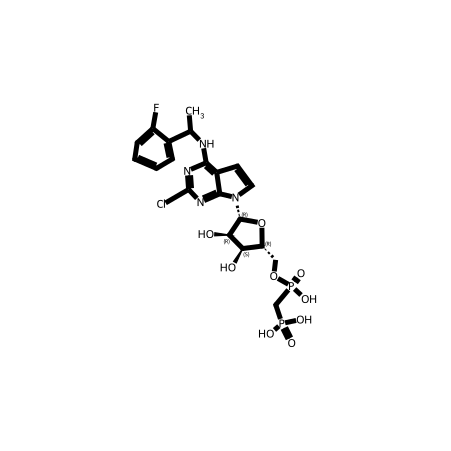 CC(Nc1nc(Cl)nc2c1ccn2[C@@H]1O[C@H](COP(=O)(O)CP(=O)(O)O)[C@@H](O)[C@H]1O)c1ccccc1F